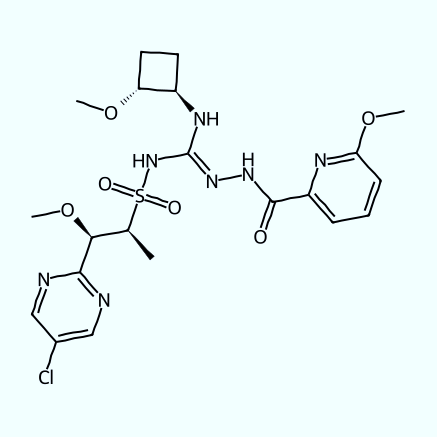 COc1cccc(C(=O)N/N=C(\N[C@@H]2CC[C@H]2OC)NS(=O)(=O)[C@@H](C)[C@H](OC)c2ncc(Cl)cn2)n1